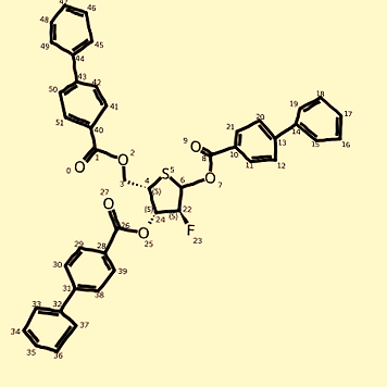 O=C(OC[C@@H]1SC(OC(=O)c2ccc(-c3ccccc3)cc2)[C@@H](F)[C@@H]1OC(=O)c1ccc(-c2ccccc2)cc1)c1ccc(-c2ccccc2)cc1